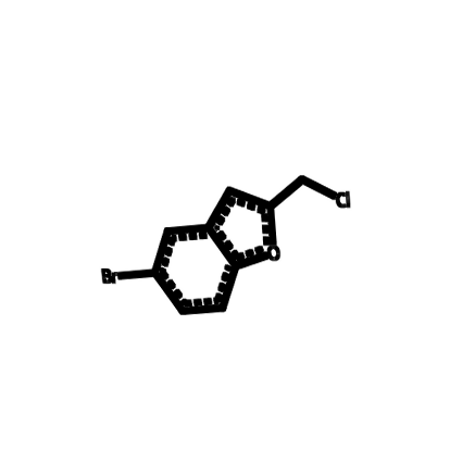 ClCc1cc2cc(Br)ccc2o1